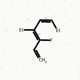 C=C/C(F)=C(/C=C\CC)CC